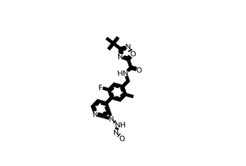 Cc1cc(-c2ccnc3c2N3NN=O)c(F)cc1CNC(=O)c1nc(C(C)(C)C)no1